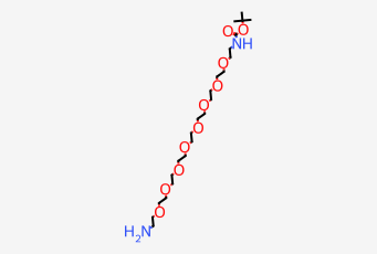 CC(C)(C)OC(=O)NCCOCCOCCOCCOCCOCCOCCOCCOCCN